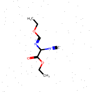 [C-]#[N+]C(/N=C/OCC)C(=O)OCC